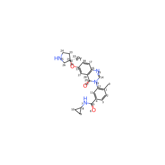 Cc1ccc(C(=O)NC2CC2)cc1-n1cnc2ccc(O[C@]3(C(C)C)CCNC3)cc2c1=O